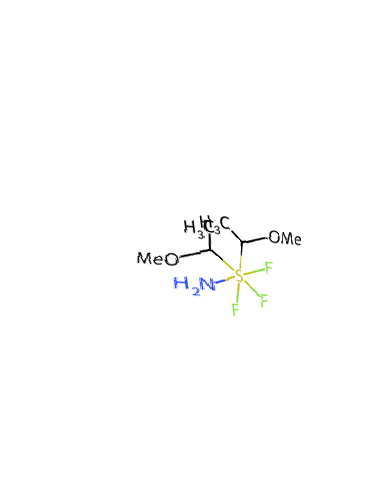 COC(C)S(N)(F)(F)(F)C(C)OC